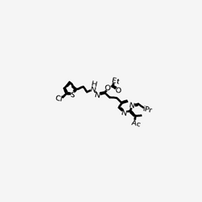 C=C(\C=N/C(/N=C\C(C)C)=C(/C)C(C)=O)CC/C(=N/NCCc1ccc(Cl)s1)OC(=O)CC